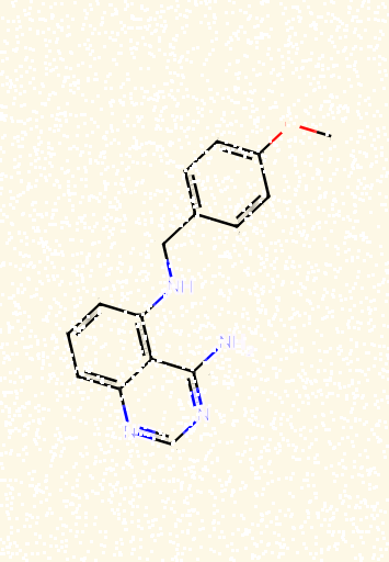 COc1ccc(CNc2cccc3ncnc(N)c23)cc1